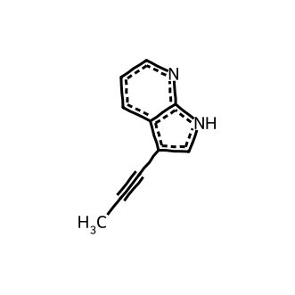 CC#Cc1c[nH]c2ncccc12